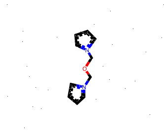 c1ccn(COCn2cccc2)c1